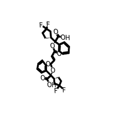 O=C(/C=C/C(=O)O[C@@](C(=O)O)(c1ccccc1)[C@@H]1CCC(F)(F)C1)O[C@@](C(=O)O)(c1ccccc1)[C@@H]1CCC(F)(F)C1